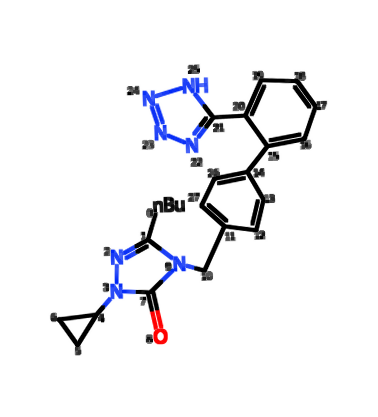 CCCCc1nn(C2CC2)c(=O)n1Cc1ccc(-c2ccccc2-c2nnn[nH]2)cc1